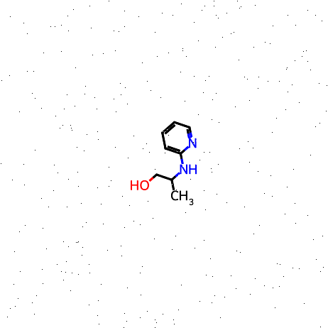 CC(CO)Nc1ccccn1